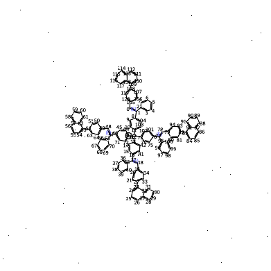 C(=C(/c1ccccc1)c1cc[c]([Ge]([c]2ccc(/C(=C/c3ccc(-c4cccc5ccccc45)cc3)c3ccccc3)cc2)([c]2ccc(/C(=C/c3ccc(-c4cccc5ccccc45)cc3)c3ccccc3)cc2)[c]2ccc(/C(=C/c3ccc(-c4cccc5ccccc45)cc3)c3ccccc3)cc2)cc1)/c1ccc(-c2cccc3ccccc23)cc1